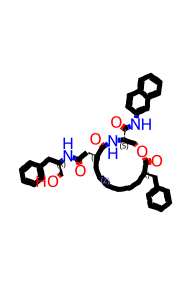 O=C(C[C@H]1C/C=C\CCC[C@H](Cc2ccccc2)C(=O)OC[C@@H](C(=O)Nc2ccc3ccccc3c2)NC1=O)N[C@@H](CO)Cc1ccccc1